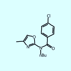 CCCCN(C(=O)c1ccc(Cl)cc1)c1nc(C)co1